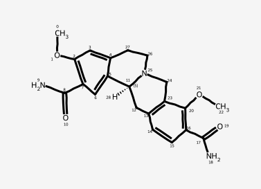 COc1cc2c(cc1C(N)=O)[C@@H]1Cc3ccc(C(N)=O)c(OC)c3CN1CC2